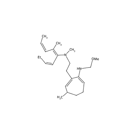 C\C=C/C(C)=C(\C=C/CC)N(C)CCC1=CC(C)CCC=C1NCOC